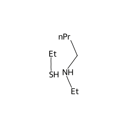 CCCCNCC.CCS